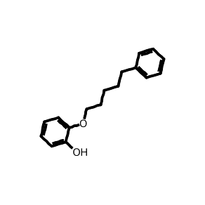 Oc1ccccc1OCCCCCc1ccccc1